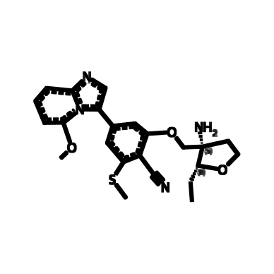 CC[C@H]1OCC[C@]1(N)COc1cc(-c2cnc3cccc(OC)n23)cc(SC)c1C#N